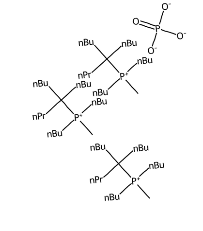 CCCCC(CCC)(CCCC)[P+](C)(CCCC)CCCC.CCCCC(CCC)(CCCC)[P+](C)(CCCC)CCCC.CCCCC(CCC)(CCCC)[P+](C)(CCCC)CCCC.O=P([O-])([O-])[O-]